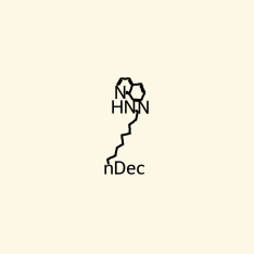 CCCCCCCCCCCCCCCCCCc1nc2ccc3cccnc3c2[nH]1